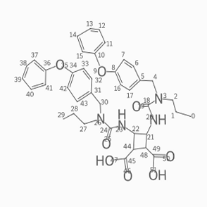 CCCN(Cc1ccc(Oc2ccccc2)cc1)C(=O)NC1C(NC(=O)N(CCC)Cc2ccc(Oc3ccccc3)cc2)C(C(=O)O)C1C(=O)O